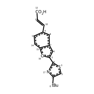 CC(C)(C)c1csc(-c2cc3cc(/C=C/C(=O)O)ccc3o2)n1